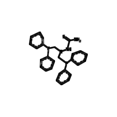 NC(=S)NN(CP(c1ccccc1)c1ccccc1)CP(c1ccccc1)c1ccccc1